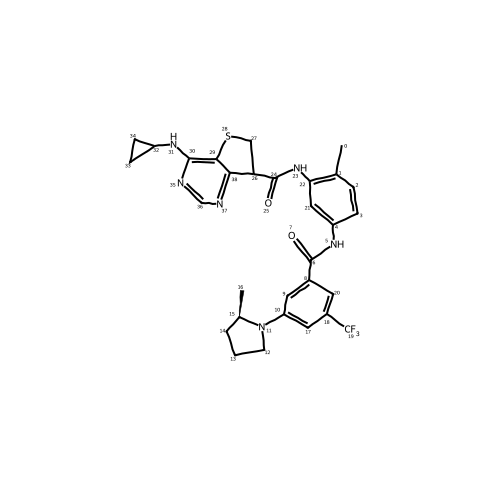 Cc1ccc(NC(=O)c2cc(N3CCC[C@H]3C)cc(C(F)(F)F)c2)cc1NC(=O)C1CSc2c(NC3CC3)ncnc21